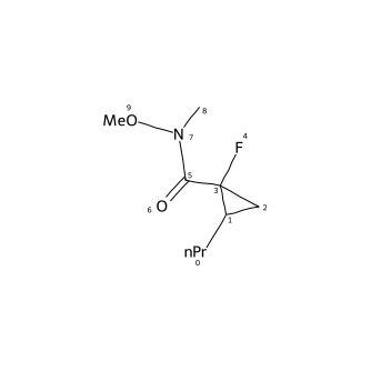 CCCC1CC1(F)C(=O)N(C)OC